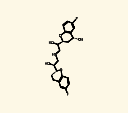 OC(CNC[C@H](O)[C@H]1CCc2cc(F)ccc2O1)[C@@H]1C[C@@H](O)c2cc(F)ccc2O1